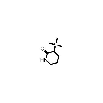 C[Si](C)(C)C1CCCNC1=O